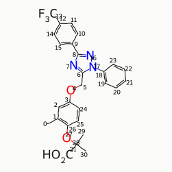 Cc1cc(OCc2nc(-c3ccc(C(F)(F)F)cc3)nn2-c2ccccc2)ccc1OC(C)(C)C(=O)O